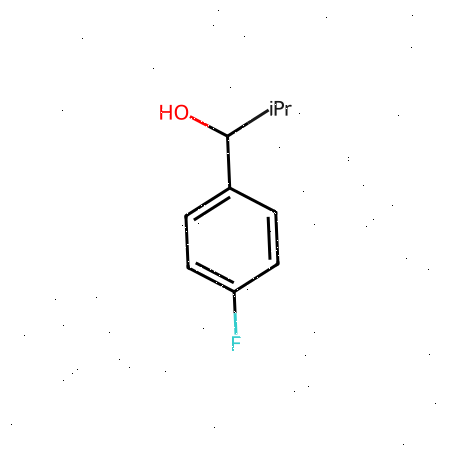 CC(C)C(O)c1ccc(F)cc1